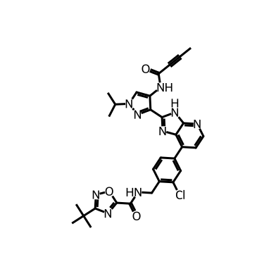 CC#CC(=O)Nc1cn(C(C)C)nc1-c1nc2c(-c3ccc(CNC(=O)c4nc(C(C)(C)C)no4)c(Cl)c3)ccnc2[nH]1